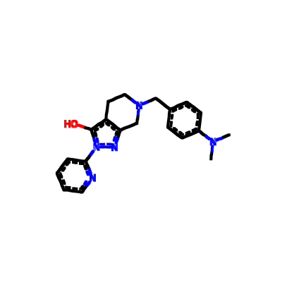 CN(C)c1ccc(CN2CCc3c(nn(-c4ccccn4)c3O)C2)cc1